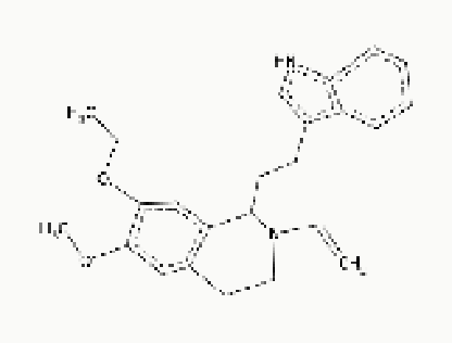 C=CN1CCc2cc(OC)c(OCC)cc2C1CCc1c[nH]c2ccccc12